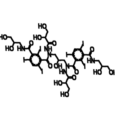 O=C(NCC(O)CO)c1c(I)cc(I)c(C(=O)N(CC(O)CN(NC(=O)C(O)CO)C(=O)c2c(I)cc(I)c(C(=O)NCC(O)CO)c2I)NC(=O)C(O)CO)c1I